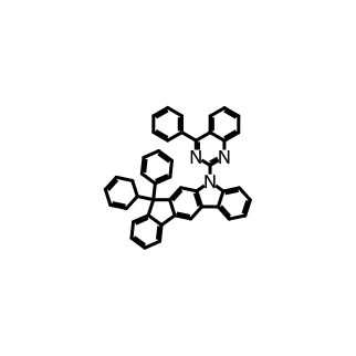 C1=CCC(C2(c3ccccc3)c3ccccc3-c3cc4c5ccccc5n(-c5nc(-c6ccccc6)c6ccccc6n5)c4cc32)C=C1